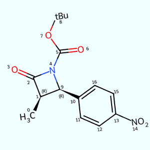 C[C@H]1C(=O)N(C(=O)OC(C)(C)C)[C@H]1c1ccc([N+](=O)[O-])cc1